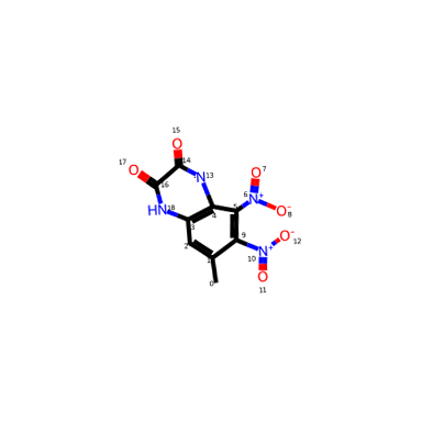 Cc1cc2c(c([N+](=O)[O-])c1[N+](=O)[O-])[N]C(=O)C(=O)N2